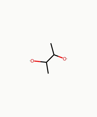 CC([O])C(C)[O]